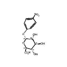 O=C(O)[C@H]1O[C@H](Oc2ccc([N+](=O)[O-])cc2)[C@H](O)[C@@H](O)[C@@H]1O